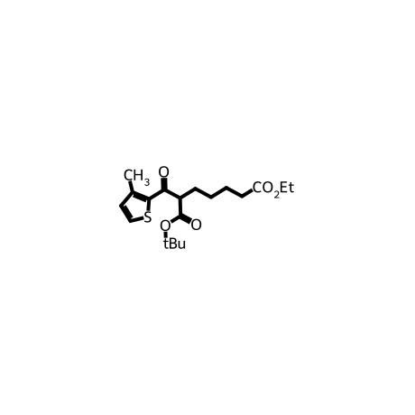 CCOC(=O)CCCCC(C(=O)OC(C)(C)C)C(=O)c1sccc1C